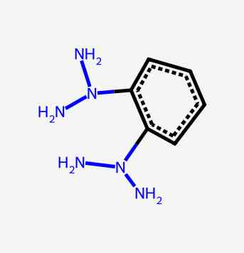 NN(N)c1ccccc1N(N)N